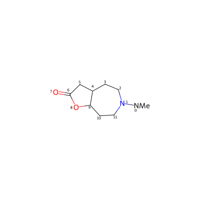 CNN1CCC2CC(=O)OC2CC1